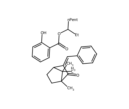 CC12CCC(C(=Cc3ccccc3)C1=O)C2(C)C.CCCCCC(CC)OC(=O)c1ccccc1O